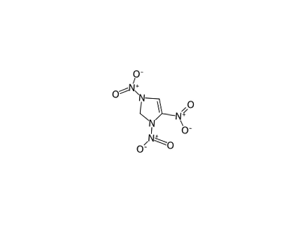 O=[N+]([O-])C1=CN([N+](=O)[O-])CN1[N+](=O)[O-]